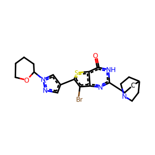 O=c1[nH]c(C2CC3CCN2CC3)nc2c(Br)c(-c3cnn(C4CCCCO4)c3)sc12